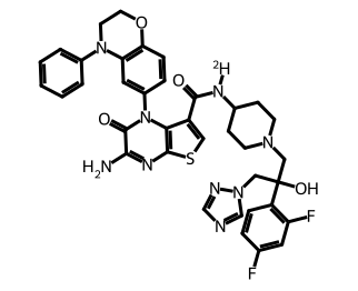 [2H]N(C(=O)c1csc2nc(N)c(=O)n(-c3ccc4c(c3)N(c3ccccc3)CCO4)c12)C1CCN(CC(O)(Cn2cncn2)c2ccc(F)cc2F)CC1